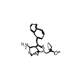 COC(=O)Cn1nc(Cc2cccc3ccccc23)c2c(N)ncnc21